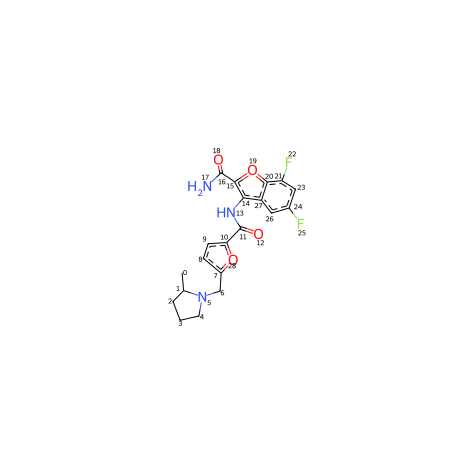 CC1CCCN1Cc1ccc(C(=O)Nc2c(C(N)=O)oc3c(F)cc(F)cc23)o1